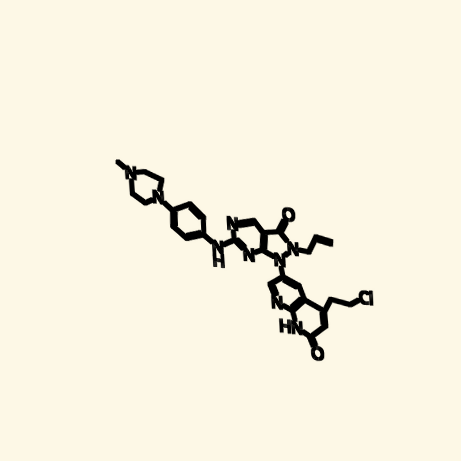 C=CCn1c(=O)c2cnc(Nc3ccc(N4CCN(C)CC4)cc3)nc2n1-c1cnc2[nH]c(=O)cc(CCCl)c2c1